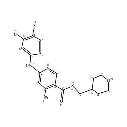 CC(C)c1cc(Nc2ccc(F)c(Cl)c2)ncc1C(=O)NCC1CCOCC1